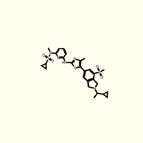 Cc1nc(Nc2cccc(N(C)S(=O)(=O)C3CC3)n2)sc1-c1cc2c(c(S(C)(=O)=O)c1)CN(C(C)C1CC1)C2